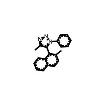 Cc1ccc2ccccc2c1-c1c(C)nnn1-c1ccccc1